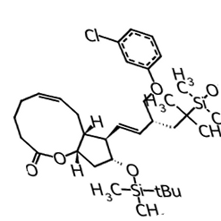 CC(C)(C[C@H](/C=C/[C@@H]1[C@H]2C/C=C\CCCC(=O)O[C@H]2C[C@H]1O[Si](C)(C)C(C)(C)C)COc1cccc(Cl)c1)[Si](C)(C)O